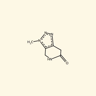 Cn1nnc2c1CNC(=O)C2